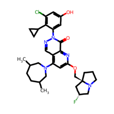 CC1CCC(C)CN(c2cc(OC[C@@]34CCCN3C[C@H](F)C4)nc3c(=O)n(-c4cc(O)cc(Cl)c4C4CC4)ncc23)C1